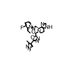 C/C=C1/C(F)=CC=CN1/N=C/[C@H]1c2nc[nH]c2CCN1C(=O)c1nnc(-c2cn(C)nc2C)o1